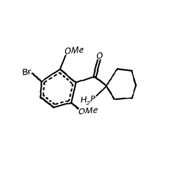 COc1ccc(Br)c(OC)c1C(=O)C1(P)CCCCC1